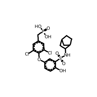 O=P(O)(O)Cc1cc(Cl)c(Oc2ccc(O)c(S(=O)(=O)NC3CC4CCC3C4)c2)c(Cl)c1